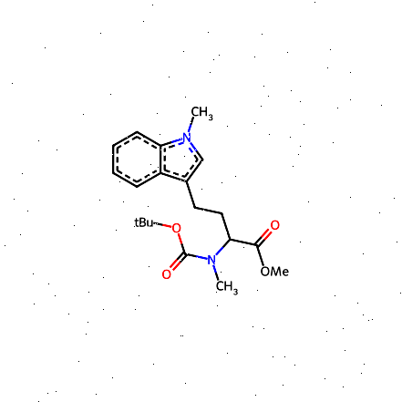 COC(=O)C(CCc1cn(C)c2ccccc12)N(C)C(=O)OC(C)(C)C